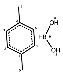 Cc1ccc(C)cc1.OBO